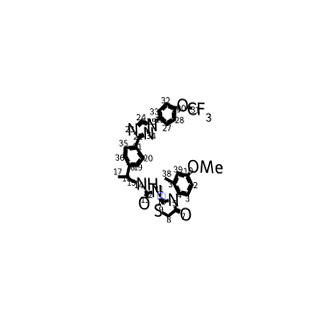 COc1ccc(N2C(=O)CS/C2=N\C(=O)NCC(C)c2ccc(-c3ncn(-c4ccc(OC(F)(F)F)cc4)n3)cc2)c(C)c1